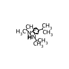 CC(C)Nc1ccc(C(C)C)cc1NC(C)C